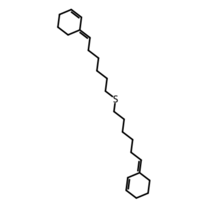 C1=CC(=CCCCCCSCCCCCC=C2C=CCCC2)CCC1